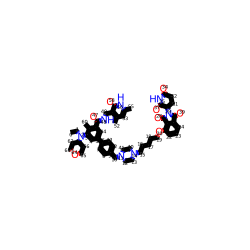 CCN(c1cc(-c2ccc(CN3CCN(CCCCCOc4cccc5c4C(=O)N(C4CCC(=O)NC4=O)C5=O)CC3)cc2)cc(C(=O)NCc2c(C)cc(C)[nH]c2=O)c1C)C1CCOCC1